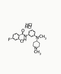 CN1CCC(N(C)c2cccc(NC(=O)c3ccc(F)cc3Cl)c2)CC1.Cl.Cl